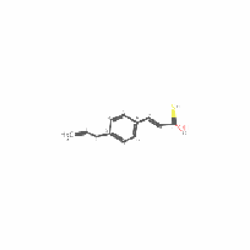 C=CCc1ccc(C=CC(O)=S)cc1